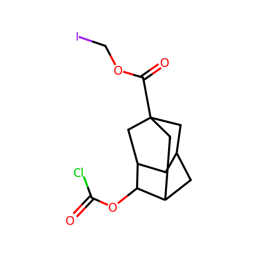 O=C(Cl)OC1C2CC3CC1CC(C(=O)OCI)(C3)C2